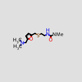 CNC(=O)NCCSCc1ccc(CN(C)C)o1